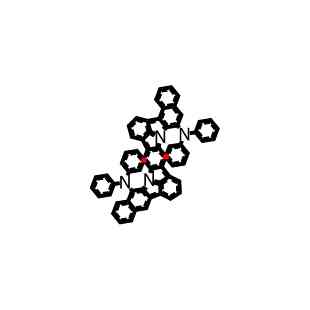 c1ccc(N(c2ccccc2)c2c3ccccc3cc3c4cccc5c6cc7c(cc6n(c23)c54)c2cccc3c4c5ccccc5cc(N(c5ccccc5)c5ccccc5)c4n7c23)cc1